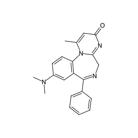 Cc1cc(=O)nc2n1-c1ccc(N(C)C)cc1C(c1ccccc1)=NC2